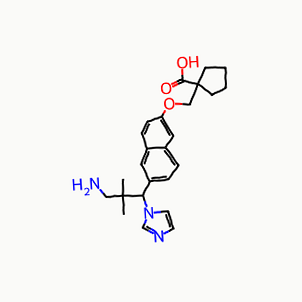 CC(C)(CN)C(c1ccc2cc(OCC3(C(=O)O)CCCC3)ccc2c1)n1ccnc1